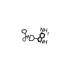 Nc1ccc2[nH]cc(C3CCN(C(=O)C4CCCC4)CC3)c2c1